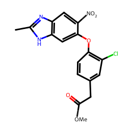 COC(=O)Cc1ccc(Oc2cc3[nH]c(C)nc3cc2[N+](=O)[O-])c(Cl)c1